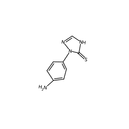 Nc1ccc(-n2nc[nH]c2=S)cc1